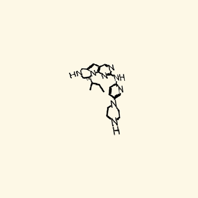 CCC(C)[C@H]1CNCc2cc3cnc(Nc4ccc(N5CCNCC5)cn4)nc3n21